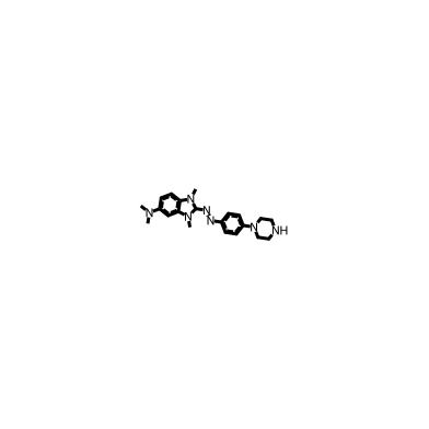 CN(C)c1ccc2c(c1)N(C)C(N=Nc1ccc(N3CCNCC3)cc1)N2C